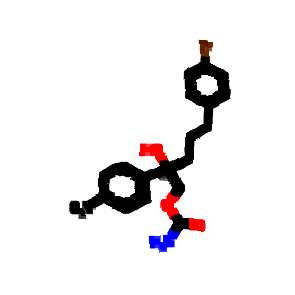 NC(=O)OC[C@@](O)(CCCc1ccc(Br)cc1)c1ccc([N+](=O)[O-])cc1